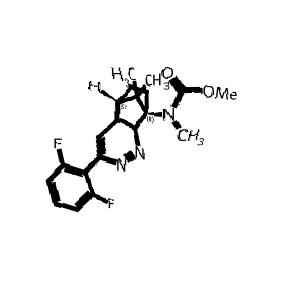 COC(=O)N(C)[C@@]12CC[C@@H](C3C=C(c4c(F)cccc4F)N=NC31)C2(C)C